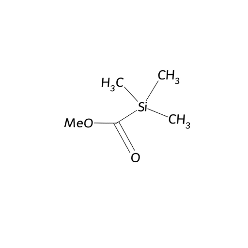 COC(=O)[Si](C)(C)C